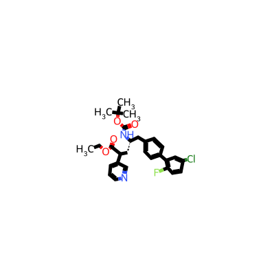 CCOC(=O)C(C[C@@H](Cc1ccc(-c2cc(Cl)ccc2F)cc1)NC(=O)OC(C)(C)C)c1cccnc1